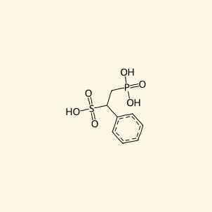 O=P(O)(O)CC(c1ccccc1)S(=O)(=O)O